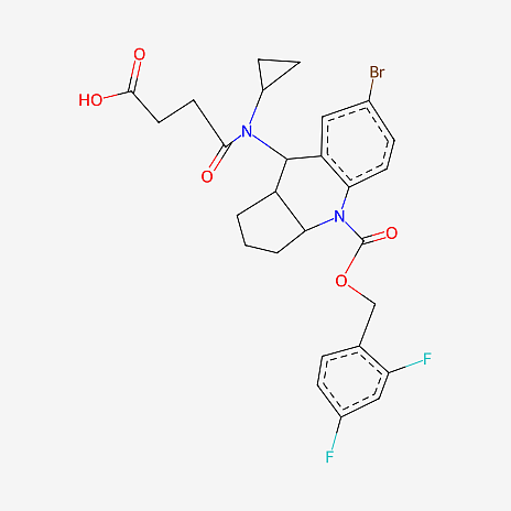 O=C(O)CCC(=O)N(C1CC1)C1c2cc(Br)ccc2N(C(=O)OCc2ccc(F)cc2F)C2CCCC21